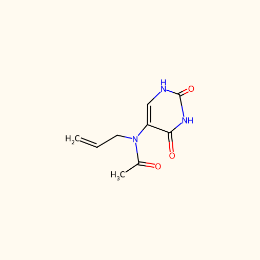 C=CCN(C(C)=O)c1c[nH]c(=O)[nH]c1=O